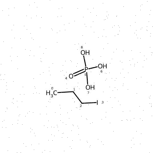 CCCI.O=P(O)(O)O